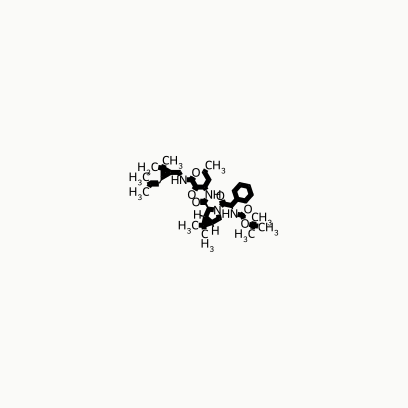 CCCC(NC(=O)[C@@H]1[C@H]2[C@@H](CN1C(=O)[C@@H](NC(=O)OC(C)(C)C)C1CCCCC1)C2(C)C)C(=O)C(=O)NCC1[C@H](C=C(C)C)C1(C)C